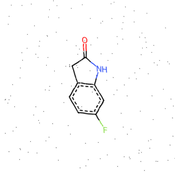 O=C1[C]c2ccc(F)cc2N1